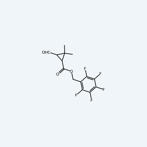 CC1(C)C(C=O)C1C(=O)OCc1c(F)c(F)c(F)c(F)c1F